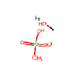 CO.O=S(=O)(O)O.[Fe]